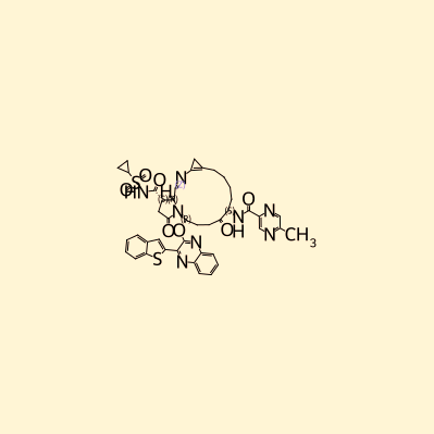 Cc1cnc(C(=O)N[C@H]2CCCCC3=C(C3)/N=C\[C@H]3[C@@H](C(=O)NS(=O)(=O)C4CC4)CC(=O)N3[C@H](Oc3nc4ccccc4nc3-c3cc4ccccc4s3)CCC2=O)cn1